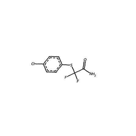 NC(=O)C(F)(F)Sc1ccc(Cl)cc1